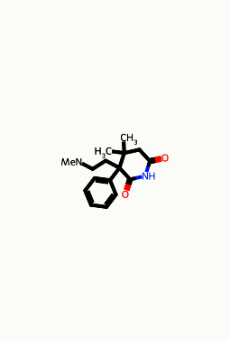 CNCCC1(c2ccccc2)C(=O)NC(=O)CC1(C)C